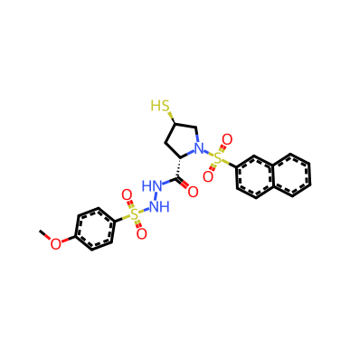 COc1ccc(S(=O)(=O)NNC(=O)[C@@H]2C[C@@H](S)CN2S(=O)(=O)c2ccc3ccccc3c2)cc1